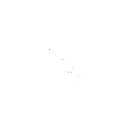 CC(C)(N1C=CC(C(N)=O)=CC1)C(F)(F)F